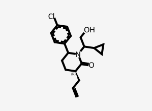 C=CC[C@H]1CCC(c2ccc(Cl)cc2)N(C(CO)C2CC2)C1=O